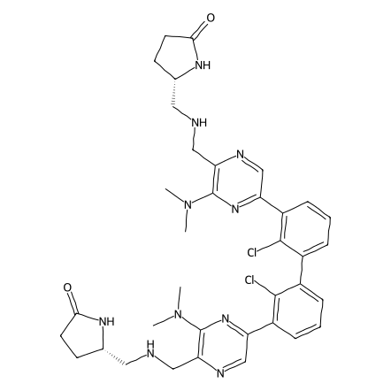 CN(C)c1nc(-c2cccc(-c3cccc(-c4cnc(CNC[C@@H]5CCC(=O)N5)c(N(C)C)n4)c3Cl)c2Cl)cnc1CNC[C@@H]1CCC(=O)N1